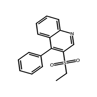 CCS(=O)(=O)c1cnc2ccccc2c1-c1ccccc1